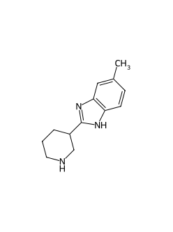 Cc1ccc2[nH]c(C3CCCNC3)nc2c1